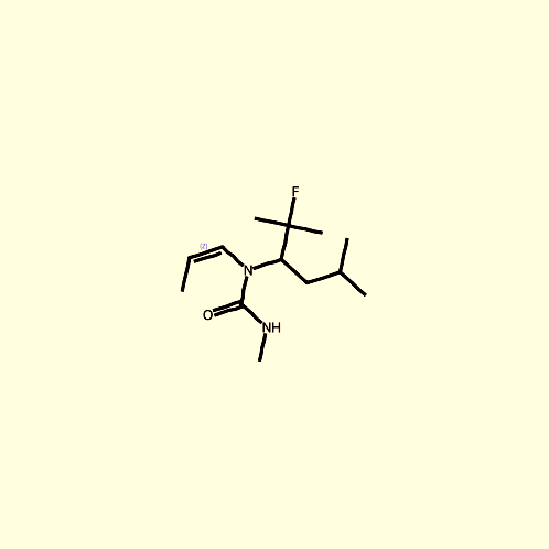 C/C=C\N(C(=O)NC)C(CC(C)C)C(C)(C)F